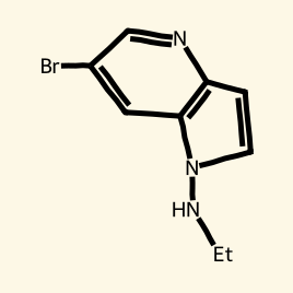 CCNn1ccc2ncc(Br)cc21